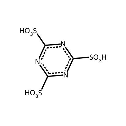 O=S(=O)(O)c1nc(S(=O)(=O)O)nc(S(=O)(=O)O)n1